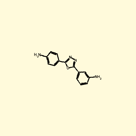 Nc1ccc(-c2nnc(-c3cccc(N)c3)o2)cc1